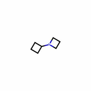 C1CC(N2CCC2)C1